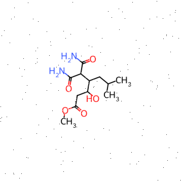 COC(=O)CC(O)C(CC(C)C)C(C(N)=O)C(N)=O